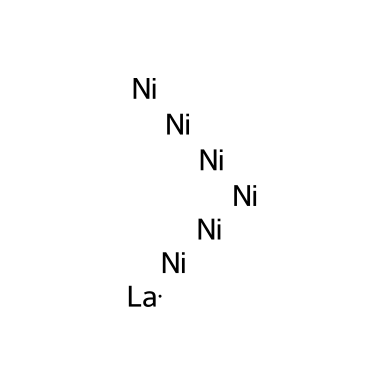 [La].[Ni].[Ni].[Ni].[Ni].[Ni].[Ni]